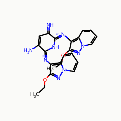 CCOc1nn2ccccc2c1/N=C1\N/C(=N\c2c(OCC)nn3ccccc23)C(N)=CC1=N